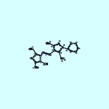 CCCCn1nc(C(C)(C)C)c(C#N)c1/N=N/c1c(C(C)(C)C)nn(-c2ccccc2)c1N